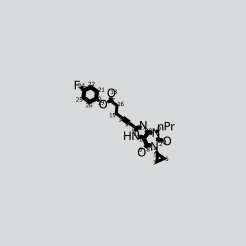 CCCn1c(=O)n(C2CC2)c(=O)c2[nH]c(C#CCCC(=O)Oc3ccc(F)cc3)nc21